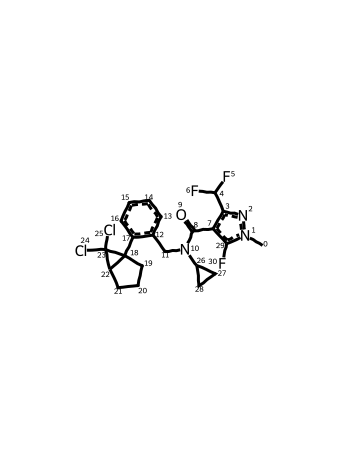 Cn1nc(C(F)F)c(C(=O)N(Cc2ccccc2C23CCCC2C3(Cl)Cl)C2CC2)c1F